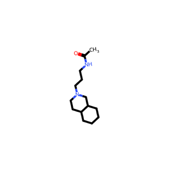 CC(=O)NCCCN1CCC2CCCCC2C1